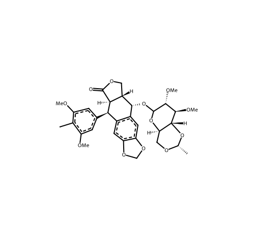 COc1cc([C@@H]2c3cc4c(cc3[C@@H](OC3O[C@@H]5CO[C@@H](C)O[C@H]5[C@H](OC)[C@H]3OC)[C@H]3COC(=O)[C@H]23)OCO4)cc(OC)c1C